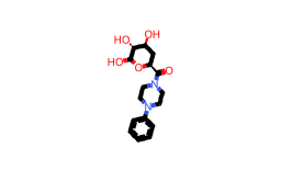 O=C([C@@H]1C[C@H](O)[C@@H](O)C(O)O1)N1CCN(c2ccccc2)CC1